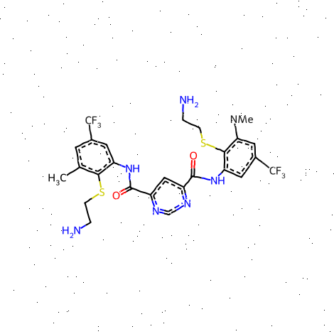 CNc1cc(C(F)(F)F)cc(NC(=O)c2cc(C(=O)Nc3cc(C(F)(F)F)cc(C)c3SCCN)ncn2)c1SCCN